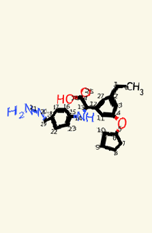 CCc1cc(OC2CCCC2)cc(C(Nc2ccc(C=NN)cc2)C(=O)O)c1